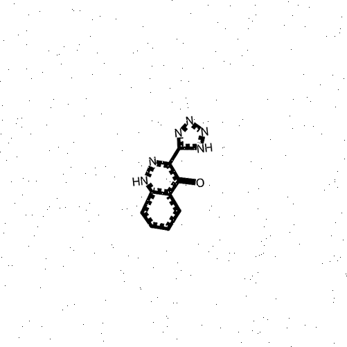 O=c1c(-c2nnn[nH]2)n[nH]c2ccccc12